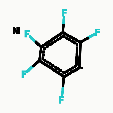 Fc1[c]c(F)c(F)c(F)c1F.[Ni]